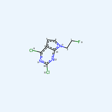 FCCn1ccc2c(Cl)nc(Cl)nc21